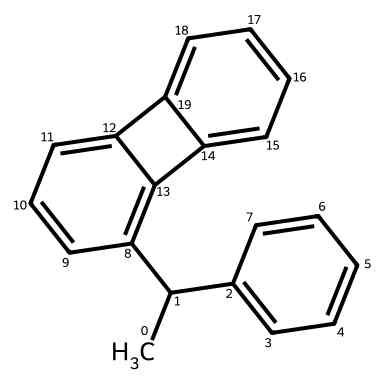 CC(c1ccccc1)c1cccc2c1-c1ccccc1-2